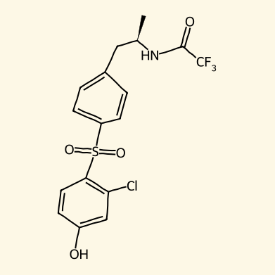 C[C@H](Cc1ccc(S(=O)(=O)c2ccc(O)cc2Cl)cc1)NC(=O)C(F)(F)F